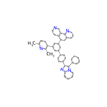 Cc1ccc(-c2cc(-c3ccc(-c4nc5ccccn5c4-c4ccccc4)cc3)cc(-c3cc4cccnc4c4cnccc34)c2)c(C)n1